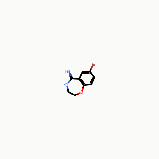 N=C1NCCOc2ccc(Br)cc21